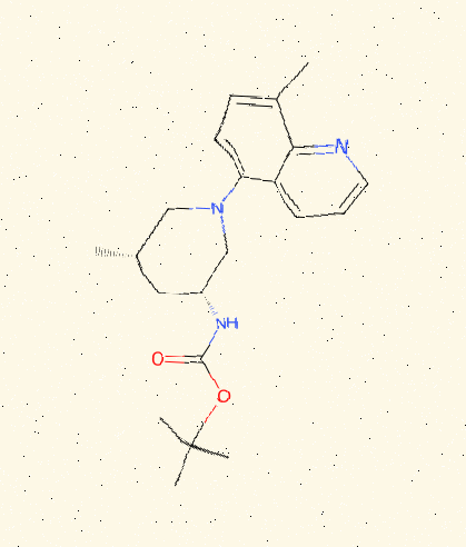 Cc1ccc(N2C[C@@H](C)C[C@@H](NC(=O)OC(C)(C)C)C2)c2cccnc12